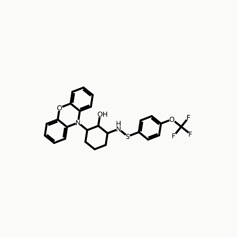 OC1C(NSc2ccc(OC(F)(F)F)cc2)CCCC1N1c2ccccc2Oc2ccccc21